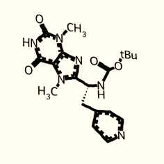 Cn1c([C@@H](Cc2ccncc2)NC(=O)OC(C)(C)C)nc2c1c(=O)[nH]c(=O)n2C